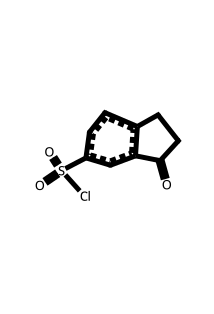 O=C1CCc2ccc(S(=O)(=O)Cl)cc21